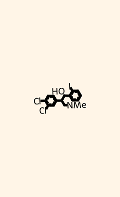 CNCC(c1ccc(Cl)c(Cl)c1)[C@@H](O)c1ccccc1I